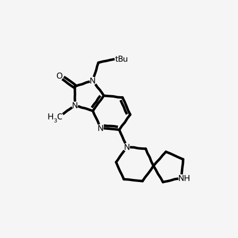 Cn1c(=O)n(CC(C)(C)C)c2ccc(N3CCCC4(CCNC4)C3)nc21